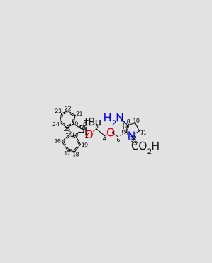 CC(C)(C)[Si](OCCOC[C@@H]1[C@@H](N)CCN1C(=O)O)(c1ccccc1)c1ccccc1